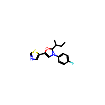 CCC(C)C1OC(c2cncs2)=[C]N1c1ccc(F)cc1